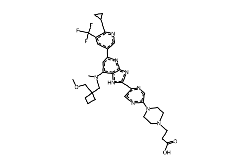 COCC1(CN(C)c2cc(-c3cnc(C4CC4)c(C(F)(F)F)c3)nc3nc(-c4cnc(N5CCN(CCC(=O)O)CC5)cn4)[nH]c23)CCC1